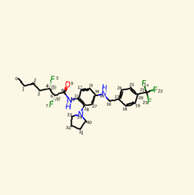 CCCC[C@H](F)[C@@H](F)C(=O)Nc1ccc(NCc2ccc(C(F)(F)F)cc2)cc1N1CCCC1